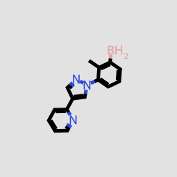 Bc1cccc(-n2cc(-c3ccccn3)cn2)c1C